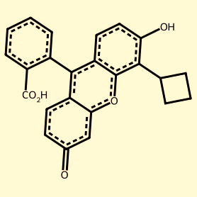 O=C(O)c1ccccc1-c1c2ccc(=O)cc-2oc2c(C3CCC3)c(O)ccc12